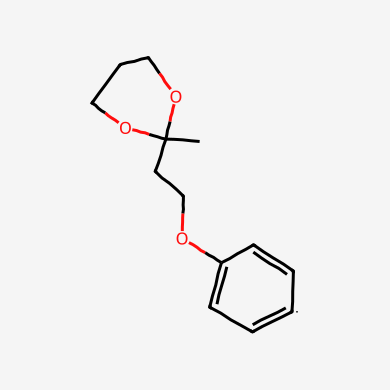 CC1(CCOc2cc[c]cc2)OCCCO1